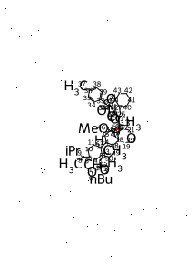 CCCCOC(=O)[C@@H]1[C@@](C)([C@H](C)C(C)C)CC[C@]2(C)[C@H]3CC[C@@H]4[C@@]5(COC[C@]4(C)[C@@H](OCC4(N(C)S(=O)(=O)c6ccc(C)cc6)CCCCC4)[C@H](OC)C5)C3=CC[C@@]12C